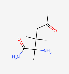 CC(=O)CC(C)(C)C(C)(N)C(N)=O